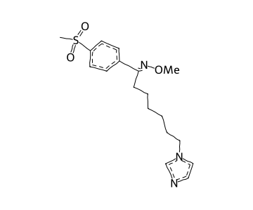 CON=C(CCCCCCn1ccnc1)c1ccc(S(C)(=O)=O)cc1